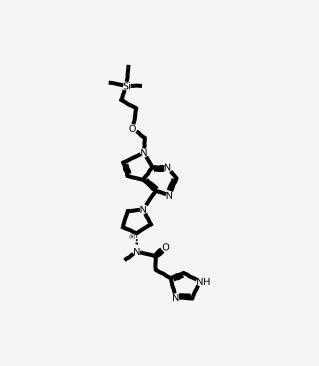 CN(C(=O)Cc1c[nH]cn1)[C@@H]1CCN(c2ncnc3c2ccn3COCC[Si](C)(C)C)C1